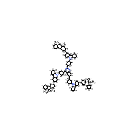 CC1(C)c2ccccc2-c2cc(-c3ccc4c(c3)c3ccccc3n4-c3ccc(-c4nc(-c5ccc(-n6c7ccccc7c7cc(-c8ccc9c(c8)-c8ccccc8C9(C)C)ccc76)cc5)c5cc(-c6cccc(-n7c8ccccc8c8cc(-c9ccc%10c(c9)-c9ccccc9C%10(C)C)ccc87)c6)ccc5n4)cc3)ccc21